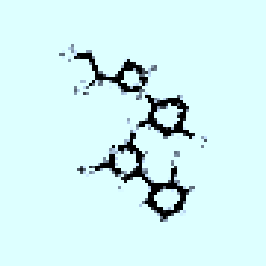 Cc1nc(Oc2cc(C#N)ccc2-n2cc([C@@H](O)CN)cn2)cc(-c2ccccc2Cl)n1